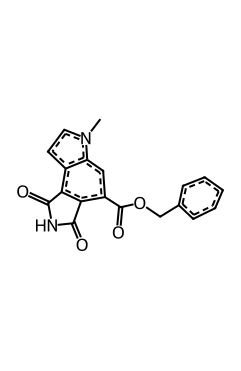 Cn1ccc2c3c(c(C(=O)OCc4ccccc4)cc21)C(=O)NC3=O